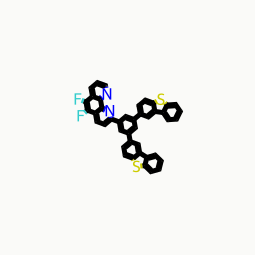 Fc1c(F)c2ccc(-c3cc(-c4ccc5sc6ccccc6c5c4)cc(-c4ccc5sc6ccccc6c5c4)c3)nc2c2ncccc12